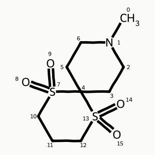 CN1CCC2(CC1)S(=O)(=O)CCCS2(=O)=O